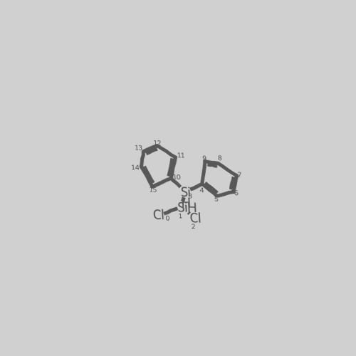 Cl[SiH](Cl)[SiH](c1ccccc1)c1ccccc1